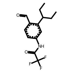 CCC(CC)c1cc(NC(=O)C(F)(F)F)ccc1C=O